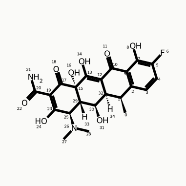 C[C@@H]1c2ccc(F)c(O)c2C(=O)C2=C(O)[C@]3(O)C(=O)C(C(N)=O)=C(O)[C@H](N(C)C)[C@H]3[C@H](O)[C@@H]21